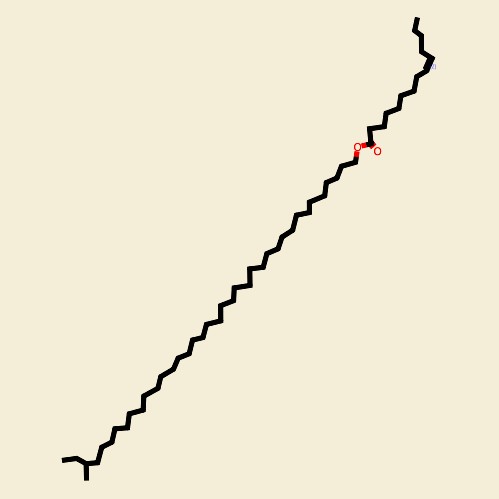 CCCC/C=C\CCCCCCCC(=O)OCCCCCCCCCCCCCCCCCCCCCCCCCCCCCCCCCCCC(C)CC